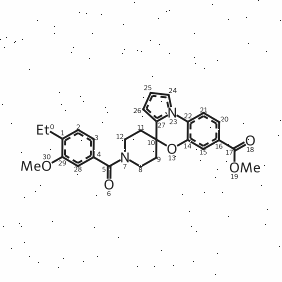 CCc1ccc(C(=O)N2CCC3(CC2)Oc2cc(C(=O)OC)ccc2-n2cccc23)cc1OC